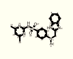 CC(=O)N(Cc1nc2ccccc2[nH]1)c1ccc(S(=O)(=O)Nc2nc(C)cc(C)n2)cc1